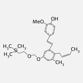 C/C=C\Cc1c(C)cc(OCOCC[Si](C)(C)C)cc1/C=C/c1ccc(O)c(OC)c1